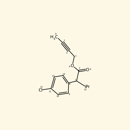 CC#CCOC(=O)C(c1ccc(Cl)cc1)C(C)C